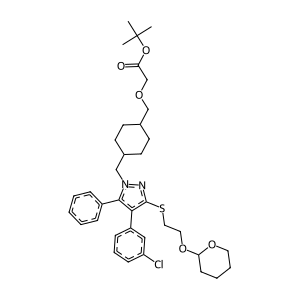 CC(C)(C)OC(=O)COCC1CCC(Cn2nc(SCCOC3CCCCO3)c(-c3cccc(Cl)c3)c2-c2ccccc2)CC1